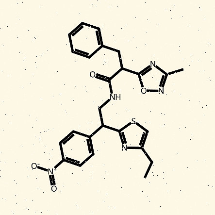 CCc1csc(C(CNC(=O)C(Cc2ccccc2)c2nc(C)no2)c2ccc([N+](=O)[O-])cc2)n1